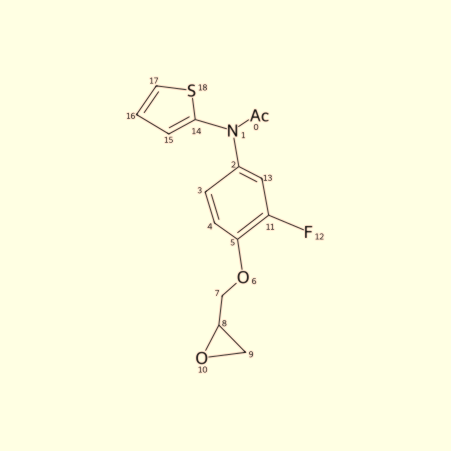 CC(=O)N(c1ccc(OCC2CO2)c(F)c1)c1cccs1